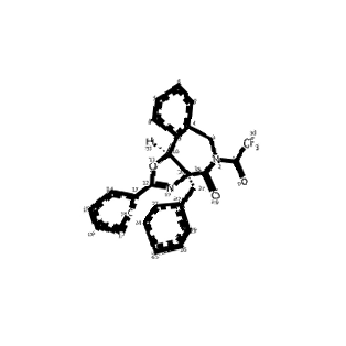 O=C(N1Cc2ccccc2[C@@H]2OC(c3ccccc3)=N[C@]2(Cc2ccccc2)C1=O)C(F)(F)F